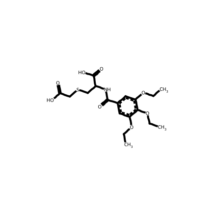 CCOc1cc(C(=O)NC(CSCC(=O)O)C(=O)O)cc(OCC)c1OCC